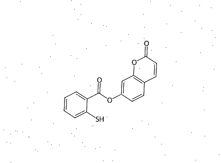 O=C(Oc1ccc2ccc(=O)oc2c1)c1ccccc1S